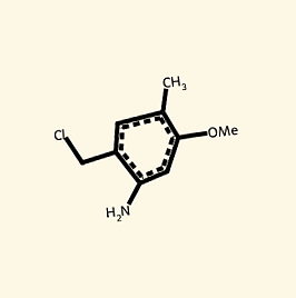 COc1cc(N)c(CCl)cc1C